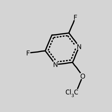 Fc1cc(F)nc(OC(Cl)(Cl)Cl)n1